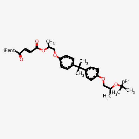 CCCC(C)C(=O)/C=C/C(=O)OC(C)COc1ccc(C(C)(C)c2ccc(OCC(C)OC(C)(C)CCC)cc2)cc1